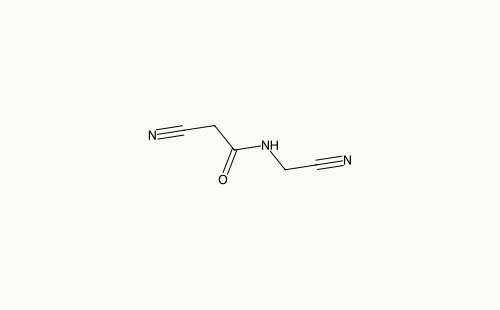 N#CCNC(=O)CC#N